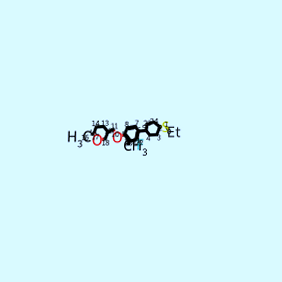 CCSC1CCC(c2ccc(OCC3CCC(C)OC3)c(C)c2F)CC1